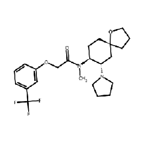 CN(C(=O)COc1cccc(C(F)(F)F)c1)[C@H]1CC[C@@]2(CCCO2)C[C@@H]1N1CCCC1